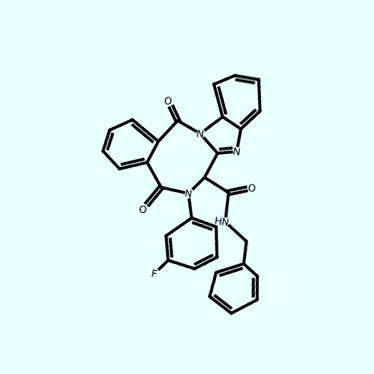 O=C(NCc1ccccc1)C1c2nc3ccccc3n2C(=O)c2ccccc2C(=O)N1c1cccc(F)c1